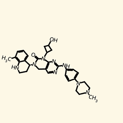 Cc1cccc2c1NCC[C@@H]2N1Cc2cnc(Nc3ccc(N4CCN(C)CC4)cc3)nc2N(C2CC(O)C2)C1=O